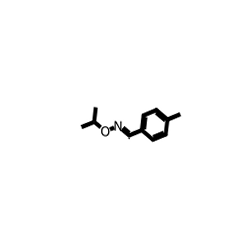 Cc1ccc(/[C]=N/OC(C)C)cc1